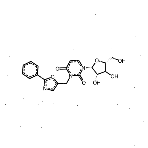 O=c1ccn([C@@H]2O[C@H](CO)C(O)[C@@H]2O)c(=O)n1Cc1cnc(-c2ccccc2)o1